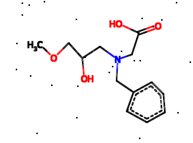 COCC(O)CN(CC(=O)O)Cc1ccccc1